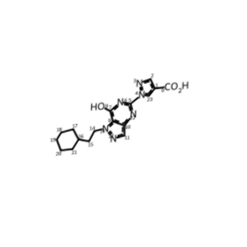 O=C(O)c1cnn(-c2nc(O)c3c(cnn3CCC3CCCCC3)n2)c1